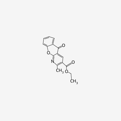 CCOC(=O)c1cc2c(=O)c3ccccc3oc2nc1C